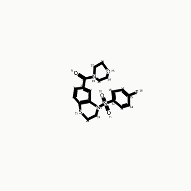 O=C(c1ccc2c(c1)N(S(=O)(=O)c1ccc(F)cc1)CCS2)N1CCOCC1